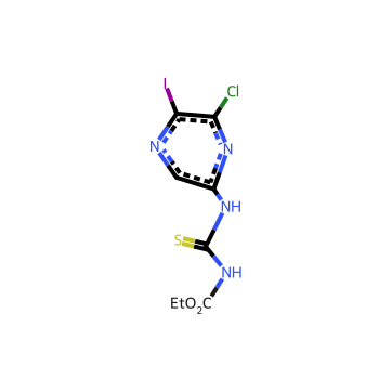 CCOC(=O)NC(=S)Nc1cnc(I)c(Cl)n1